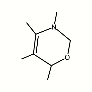 CC1=C(C)N(C)COC1C